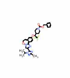 Cc1nc(C2=NC3=c4ccc(OC(C5CCN(C(=O)OCc6ccccc6)CC5)C(F)(F)F)cc4=CCON3C2)n(C(C)C)n1